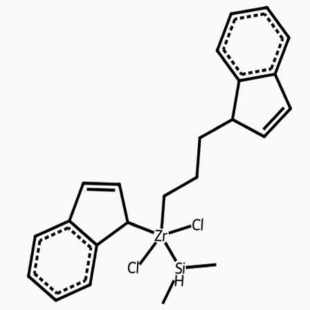 C[SiH](C)[Zr]([Cl])([Cl])([CH2]CCC1C=Cc2ccccc21)[CH]1C=Cc2ccccc21